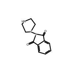 O=C1c2ccccc2C(=O)N1N1CCNCC1